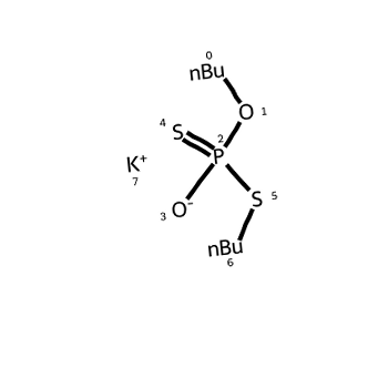 CCCCOP([O-])(=S)SCCCC.[K+]